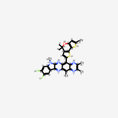 CCc1nc2c(CC)c3nc4c5cc(F)c(F)cc5n(CC)c4nc3c(-c3cc4c(s3)-c3sc(C(C)C)cc3OC4(C)C)c2nc1CC